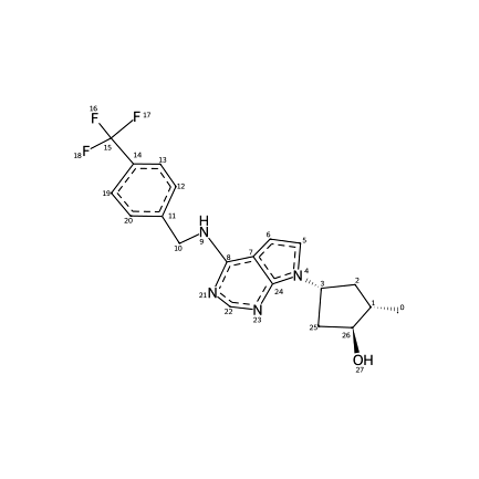 [CH2][C@H]1C[C@@H](n2ccc3c(NCc4ccc(C(F)(F)F)cc4)ncnc32)C[C@@H]1O